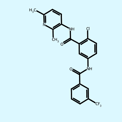 Cc1ccc(NC(=O)c2cc(NC(=O)c3cccc(C(F)(F)F)c3)ccc2Cl)c(C)n1